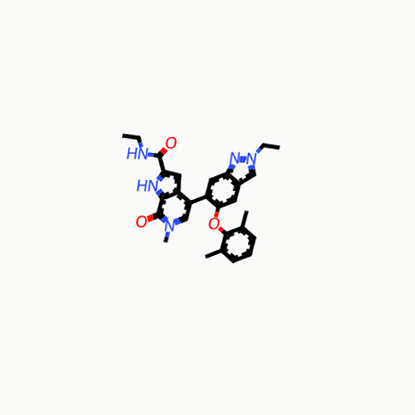 CCNC(=O)c1cc2c(-c3cc4nn(CC)cc4cc3Oc3c(C)cccc3C)cn(C)c(=O)c2[nH]1